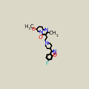 COC1CCc2nc(C)c(CCN3CCC(c4noc5cc(F)ccc45)CC3)c(=O)n2C1